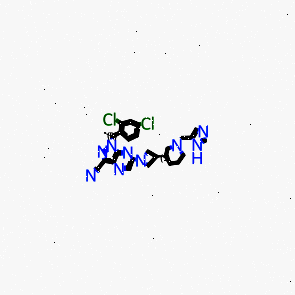 C[C@H](c1ccc(Cl)cc1Cl)n1nc(C#N)c2ncc(N3CC([C@@H]4CCCN(Cc5cnc[nH]5)C4)C3)nc21